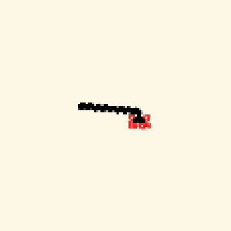 CCCCCCCCCCCCCCC/C=C\C(C(=O)O)C(=O)O